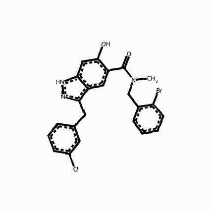 CN(Cc1ccccc1Br)C(=O)c1cc2c(Cc3cccc(Cl)c3)n[nH]c2cc1O